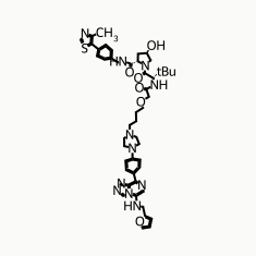 Cc1ncsc1-c1ccc(CNC(=O)[C@@H]2C[C@@H](O)CN2C(=O)[C@@H](NC(=O)COCCCCN2CCN(c3ccc(-c4ncc(NCc5ccco5)n5cnnc45)cc3)CC2)C(C)(C)C)cc1